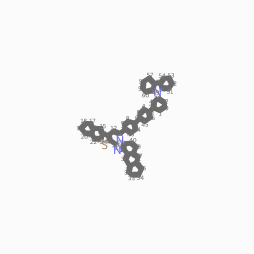 c1cc(-c2ccc(-c3ccc(-c4cc5c6cc7ccccc7cc6sc5c5nc6c7cc8ccccc8cc7ccc6n45)cc3)cc2)cc(-n2c3ccccc3c3ccccc32)c1